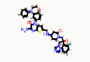 Nc1nc2sc(CNC3CCN(CC(O)(Cn4cncn4)c4ccc(F)cc4F)C(=O)C3)cc2n(-c2ccc3c(c2)N(c2ccccc2)CCO3)c1=O